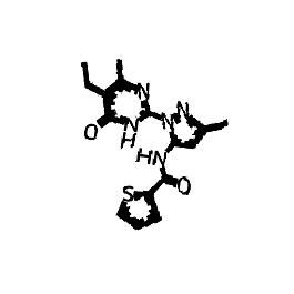 CCc1c(C)nc(-n2nc(C)cc2NC(=O)c2cccs2)[nH]c1=O